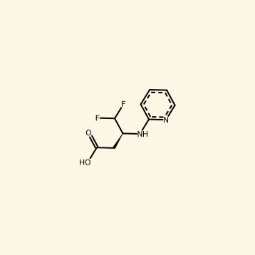 O=C(O)C[C@H](Nc1ccccn1)C(F)F